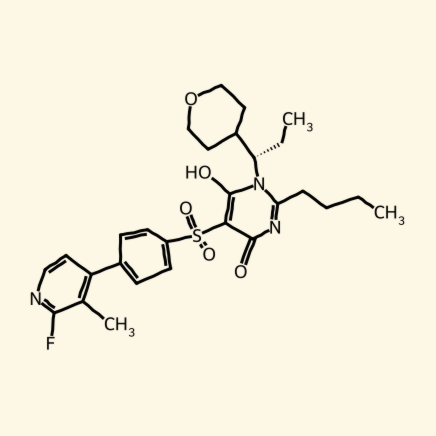 CCCCc1nc(=O)c(S(=O)(=O)c2ccc(-c3ccnc(F)c3C)cc2)c(O)n1[C@@H](CC)C1CCOCC1